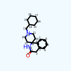 O=C1Cc2ccccc2C2(CCN(CC3CCCCC3)CC2)N1